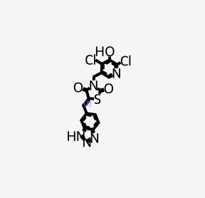 O=C1S/C(=C\c2ccc3nn[nH]c3c2)C(=O)N1Cc1cnc(Cl)c(O)c1Cl